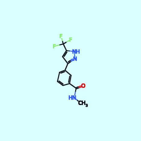 CNC(=O)c1cccc(-c2cc(C(F)(F)F)[nH]n2)c1